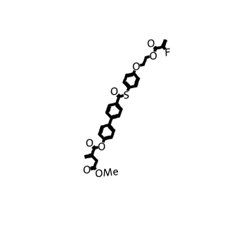 C=C(F)C(=O)OCCOc1ccc(SC(=O)c2ccc(-c3ccc(OC(=O)C(=C)CC(=O)OC)cc3)cc2)cc1